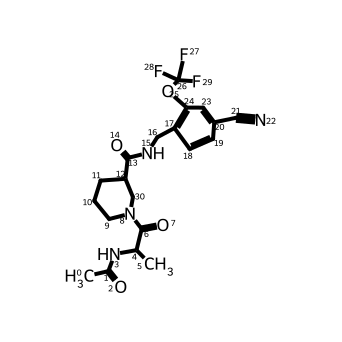 CC(=O)NC(C)C(=O)N1CCCC(C(=O)NCc2ccc(C#N)cc2OC(F)(F)F)C1